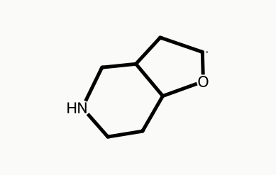 [CH]1CC2CNCCC2O1